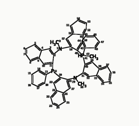 CN1c2cc3ccccc3cc2P(c2ccccc2)c2cc3ccccc3cc2N(C)c2cc3ccccc3cc2[PH](C)(c2ccccc2)c2cc3ccccc3cc21